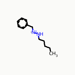 CCCCCN[N+]Cc1ccccc1